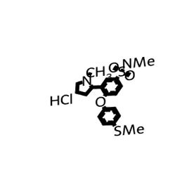 CNS(=O)(=O)c1ccc(Oc2ccc(SC)cc2)c(C2CCCN2C)c1.Cl